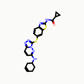 O=C(Nc1nc2ccc(Sc3nnc4ccc(NC5CC#CCC5)nn34)cc2s1)C1CC1